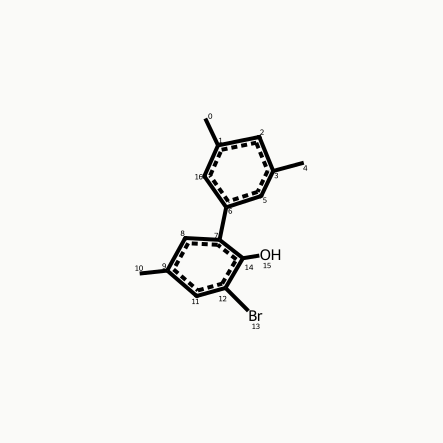 Cc1cc(C)cc(-c2cc(C)cc(Br)c2O)c1